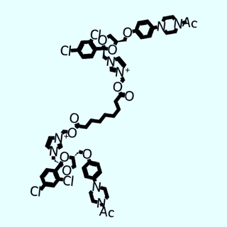 CC(=O)N1CCN(c2ccc(OC[C@@H]3CO[C@@](Cn4cc[n+](COC(=O)CCCCCCCC(=O)OC[n+]5ccn(C[C@@]6(c7ccc(Cl)cc7Cl)OC[C@@H](COc7ccc(N8CCN(C(C)=O)CC8)cc7)O6)c5)c4)(c4ccc(Cl)cc4Cl)O3)cc2)CC1